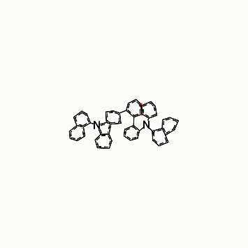 c1ccc(N(c2ccccc2-c2ccccc2-c2ccc3c(c2)c2ccccc2n3-c2cccc3ccccc23)c2cccc3ccccc23)cc1